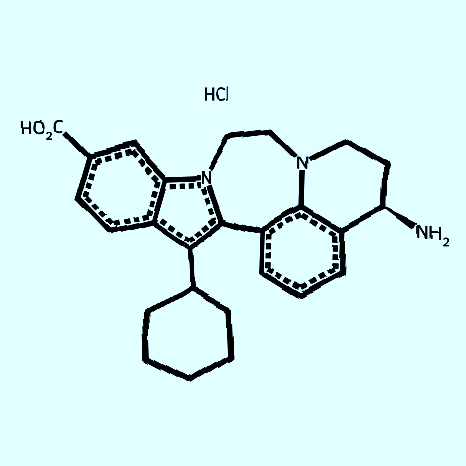 Cl.N[C@@H]1CCN2CCn3c(c(C4CCCCC4)c4ccc(C(=O)O)cc43)-c3cccc1c32